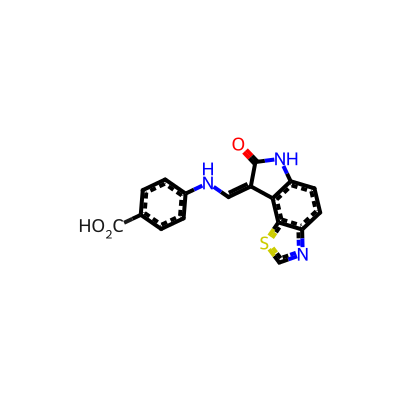 O=C1Nc2ccc3ncsc3c2C1=CNc1ccc(C(=O)O)cc1